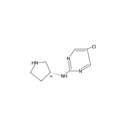 Clc1cnc(N[C@@H]2CCNC2)nc1